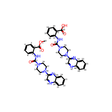 COC(=O)c1ccccc1NC(=O)N1CCN(c2cnc3ccccc3n2)CC1.O=C(O)c1ccccc1NC(=O)N1CCN(c2cnc3ccccc3n2)CC1